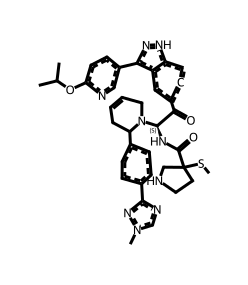 CSC1(C(=O)N[C@H](C(=O)c2ccc3[nH]nc(-c4ccc(OC(C)C)nc4)c3c2)N2CC=CCC2c2ccc(-c3ncn(C)n3)cc2)CCNC1